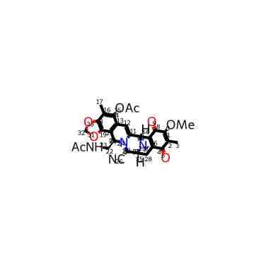 COC1=C(C)C(=O)C2=C(C1=O)[C@H]1C3=Cc4c(OC(C)=O)c(C)c5c(c4[C@H](CNC(C)=O)N3[C@@H](C#N)[C@H](C2)N1C)OCO5